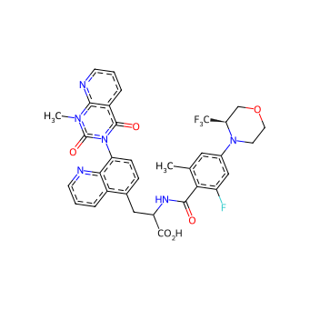 Cc1cc(N2CCOC[C@@H]2C(F)(F)F)cc(F)c1C(=O)NC(Cc1ccc(-n2c(=O)c3cccnc3n(C)c2=O)c2ncccc12)C(=O)O